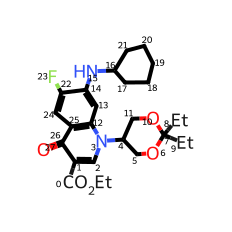 CCOC(=O)c1cn(C2COC(CC)(CC)OC2)c2cc(NC3CCCCC3)c(F)cc2c1=O